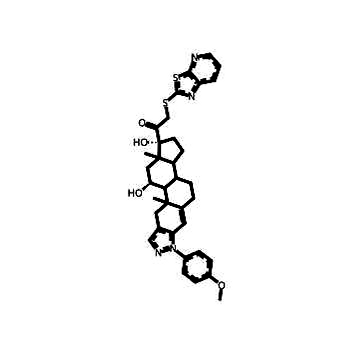 COc1ccc(-n2ncc3c2C=C2CCC4C([C@@H](O)CC5(C)C4CC[C@]5(O)C(=O)CSc4nc5cccnc5s4)C2(C)C3)cc1